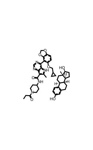 CCC(=O)N1CCC(NC(=O)c2c(C)[nH]c3c(-c4c(OCC5CC5)ccc5c4OCO5)ncnc23)CC1.C[C@]12CC[C@@H]3c4ccc(O)cc4CC[C@H]3[C@@H]1CC[C@@H]2O